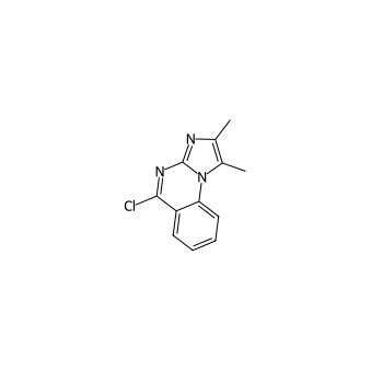 Cc1nc2nc(Cl)c3ccccc3n2c1C